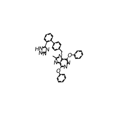 Cc1nc2c(Oc3ccccc3)nnc(Oc3ccccc3)c2n1Cc1ccc(-c2ccccc2-c2nnn[nH]2)cc1